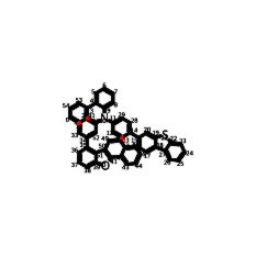 c1ccc(-c2ccccc2N(c2ccc(-c3ccc4c(c3)sc3ccccc34)cc2)c2cccc(-c3cccc4oc5c6ccccc6ccc5c34)c2)cc1